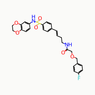 O=C(COCc1ccc(F)cc1)NCCC=Cc1ccc(S(=O)(=O)Nc2ccc3c(c2)OCCO3)cc1